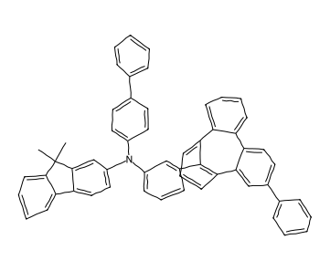 CC1(C)c2ccccc2-c2ccc(N(c3ccc(-c4ccccc4)cc3)c3cccc(-c4c5cccc4-c4cc(-c6ccccc6)ccc4-c4ccccc4-5)c3)cc21